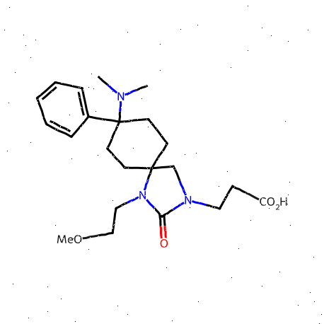 COCCN1C(=O)N(CCC(=O)O)CC12CCC(c1ccccc1)(N(C)C)CC2